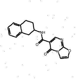 O=C(NC1CCc2ccccc2C1)c1cnc2occn2c1=O